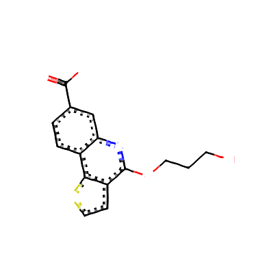 O=C(O)c1ccc2c(c1)nc(OCCCO)c1ccsc12